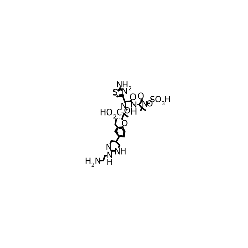 CC1(C)[C@H](NC(=O)/C(=N\O[C@](C)(C(=O)O)[C@H]2CCc3cc(C4CN=C(NCCN)NC4)ccc3O2)c2csc(N)n2)C(=O)N1OS(=O)(=O)O